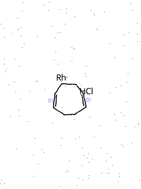 C1=C\CC/C=C\CC/1.Cl.[Rh]